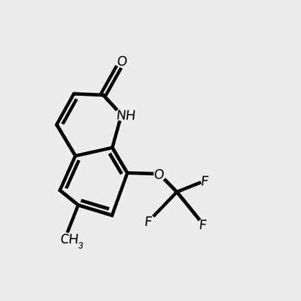 Cc1cc(OC(F)(F)F)c2[nH]c(=O)ccc2c1